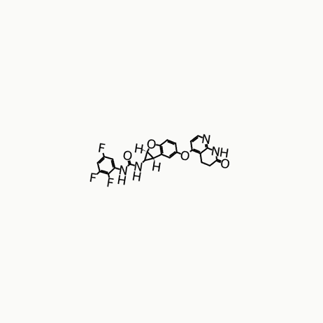 O=C1CCc2c(Oc3ccc4c(c3)[C@H]3C(NC(=O)Nc5cc(F)cc(F)c5F)[C@H]3O4)ccnc2N1